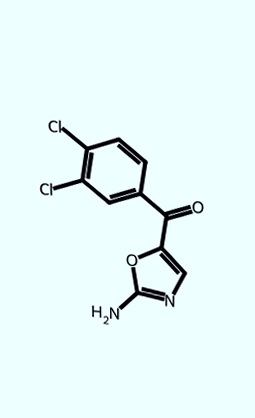 Nc1ncc(C(=O)c2ccc(Cl)c(Cl)c2)o1